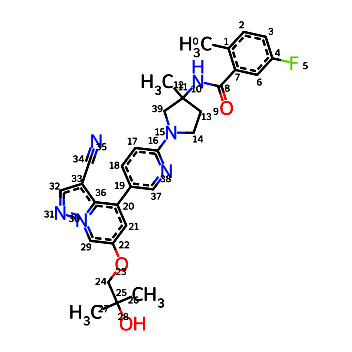 Cc1ccc(F)cc1C(=O)NC1(C)CCN(c2ccc(-c3cc(OCC(C)(C)O)cn4ncc(C#N)c34)cn2)C1